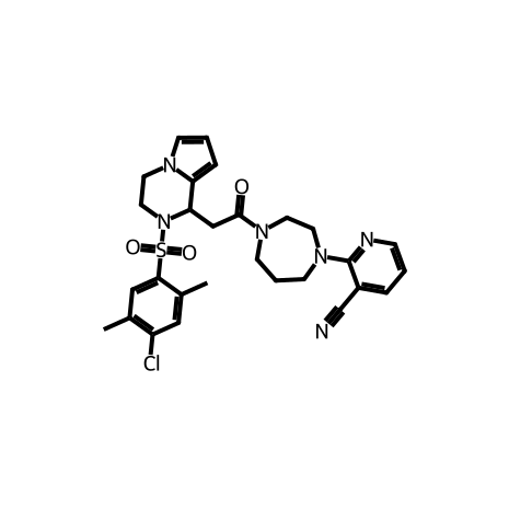 Cc1cc(S(=O)(=O)N2CCn3cccc3C2CC(=O)N2CCCN(c3ncccc3C#N)CC2)c(C)cc1Cl